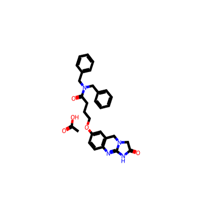 CC(=O)O.O=C1CN2Cc3cc(OCCCC(=O)N(Cc4ccccc4)Cc4ccccc4)ccc3N=C2N1